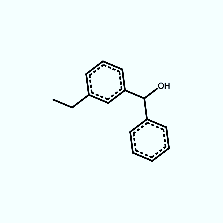 CCc1cccc(C(O)c2ccccc2)c1